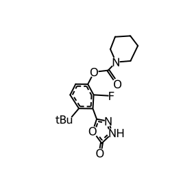 CC(C)(C)c1ccc(OC(=O)N2CCCCC2)c(F)c1-c1n[nH]c(=O)o1